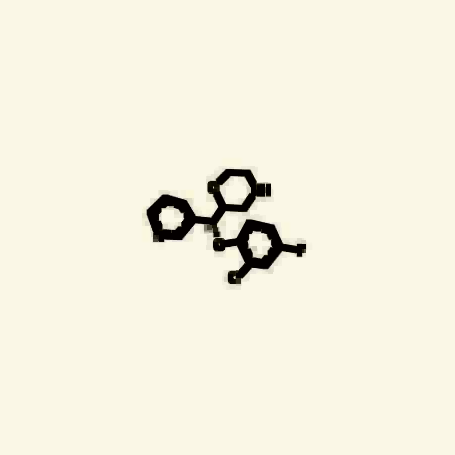 Fc1ccc(O[C@H](c2cccnc2)C2CNCCO2)c(Cl)c1